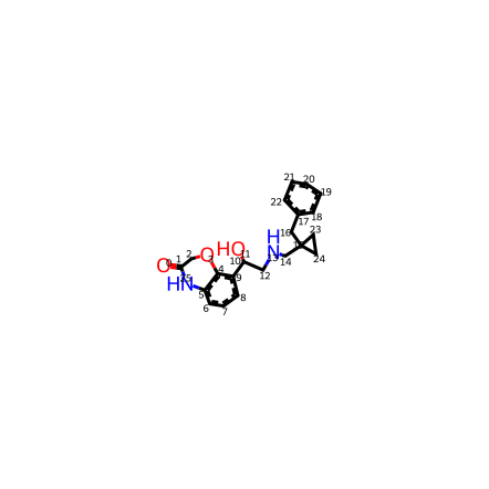 O=C1COc2c(cccc2C(O)CNCC2(Cc3ccccc3)CC2)N1